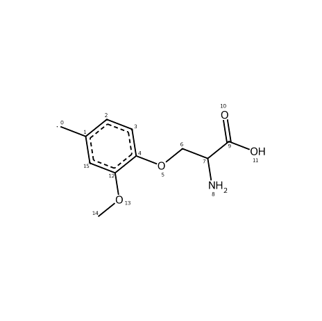 [CH2]c1ccc(OCC(N)C(=O)O)c(OC)c1